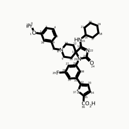 CC(C)Oc1cccc(CN2CCC3(CC2)C(NC2CCCCC2)=NC(=O)N3c2cc(F)cc(-c3ccc(C(=O)O)s3)c2)c1